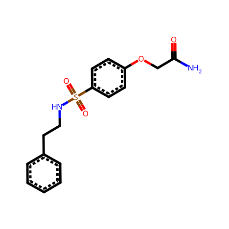 NC(=O)COc1ccc(S(=O)(=O)NCCc2ccccc2)cc1